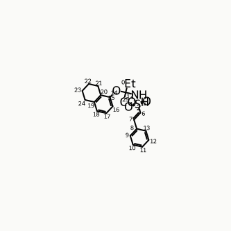 CCC(NS(=O)(=O)C=Cc1ccccc1)(Oc1cccc2c1CCCC2)C(=O)O